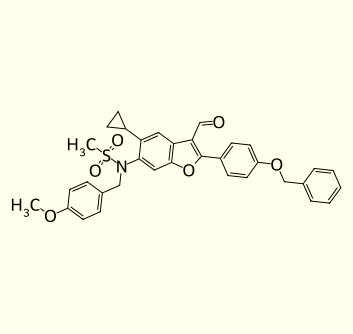 COc1ccc(CN(c2cc3oc(-c4ccc(OCc5ccccc5)cc4)c(C=O)c3cc2C2CC2)S(C)(=O)=O)cc1